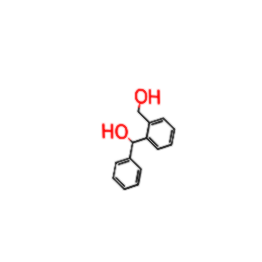 OCc1ccccc1C(O)c1ccccc1